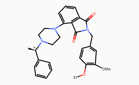 CCOc1ccc(CN2C(=O)c3cccc(N4CCN([C@H](C)c5ccccc5)CC4)c3C2=O)cc1OC